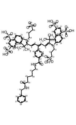 CC1(C)C(/C=C/C(=C/C=C2/N(CCCS(=O)(=O)O)c3ccc4c(S(=O)(=O)O)cc(S(=O)(=O)O)cc4c3C2(C)C)c2ccc(C(=O)NCCCCCC(=O)NCc3ccccc3)cn2)=[N+](CCCS(=O)(=O)[O-])c2ccc3c(S(=O)(=O)O)cc(S(=O)(=O)O)cc3c21